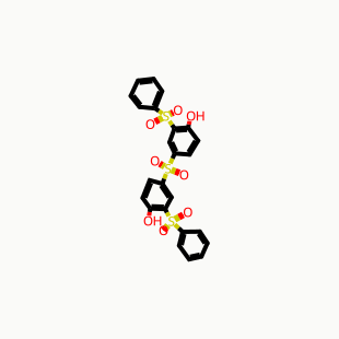 O=S(=O)(c1ccc(O)c(S(=O)(=O)c2ccccc2)c1)c1ccc(O)c(S(=O)(=O)c2ccccc2)c1